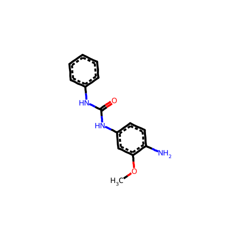 COc1cc(NC(=O)Nc2ccccc2)ccc1N